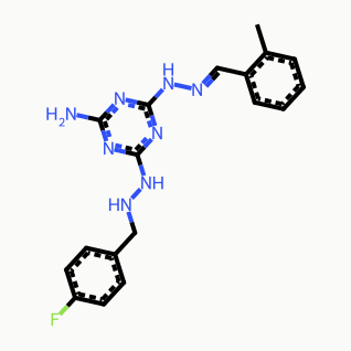 Cc1ccccc1C=NNc1nc(N)nc(NNCc2ccc(F)cc2)n1